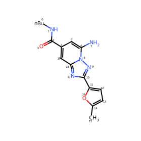 CCCCNC(=O)c1cc(N)n2nc(-c3ccc(C)o3)nc2c1